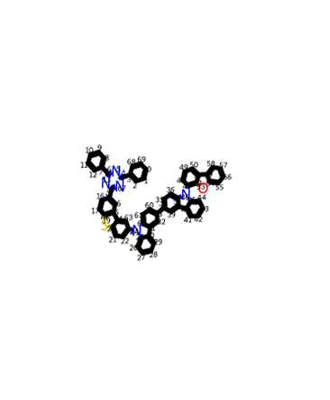 c1ccc(-c2nc(-c3ccccc3)nc(-c3ccc4sc5ccc(-n6c7ccccc7c7cc(-c8ccc9c(c8)c8ccccc8n9-c8cccc9c8oc8ccccc89)ccc76)cc5c4c3)n2)cc1